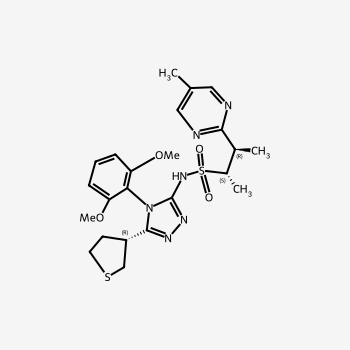 COc1cccc(OC)c1-n1c(NS(=O)(=O)[C@@H](C)[C@H](C)c2ncc(C)cn2)nnc1[C@H]1CCSC1